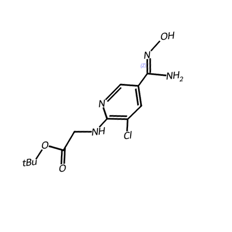 CC(C)(C)OC(=O)CNc1ncc(/C(N)=N/O)cc1Cl